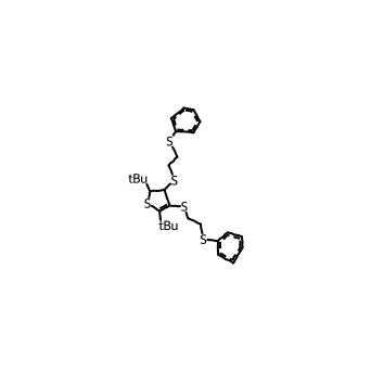 CC(C)(C)C1=C(SCCSc2ccccc2)C(SCCSc2ccccc2)C(C(C)(C)C)S1